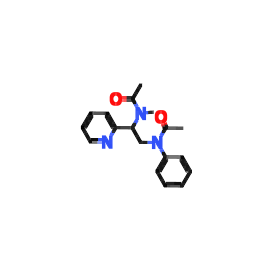 CC(=O)N(CC(c1ccccn1)N(C)C(C)=O)c1ccccc1